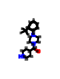 CC(C)(C)c1ccccc1N1CCN(C(=O)C2CCNCC2)CC1